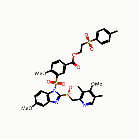 COc1ccc2c(c1)nc([S+]([O-])Cc1ncc(C)c(OC)c1C)n2S(=O)(=O)c1cc(C(=O)OCCS(=O)(=O)c2ccc(C)cc2)ccc1OC